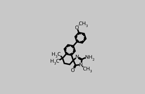 COc1cccc(-c2ccc3c(c2)C2(CCC3(C)C)N=C(N)N(C)C2=O)c1